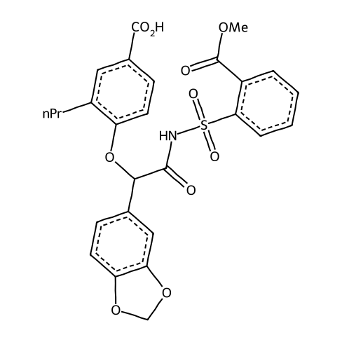 CCCc1cc(C(=O)O)ccc1OC(C(=O)NS(=O)(=O)c1ccccc1C(=O)OC)c1ccc2c(c1)OCO2